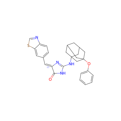 O=C1NC(NC23CC4CC(C2)CC(Oc2ccccc2)(C4)C3)=N/C1=C\c1ccc2ncsc2c1